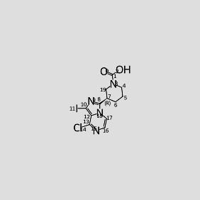 O=C(O)N1CCC[C@@H](c2nc(I)c3c(Cl)nccn23)C1